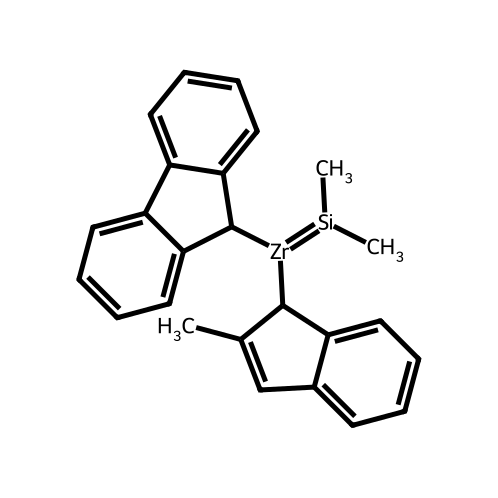 CC1=Cc2ccccc2[CH]1[Zr]([CH]1c2ccccc2-c2ccccc21)=[Si](C)C